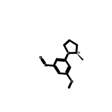 COc1cc(N=O)cc(N2CCC[C@@H]2C)c1